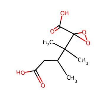 CC(CC(=O)O)C(C)(C)C1(C(=O)O)OO1